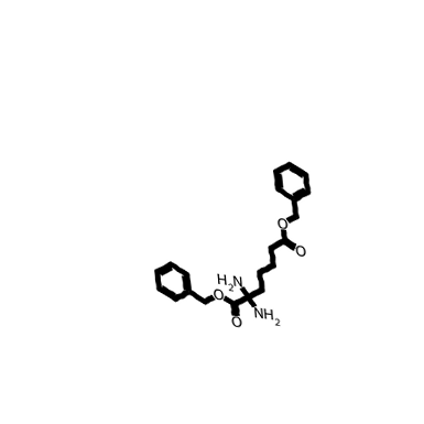 NC(N)(CCCCC(=O)OCc1ccccc1)C(=O)OCc1ccccc1